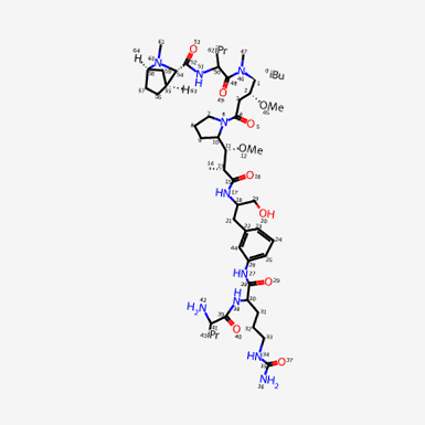 CC[C@H](C)[C@@H]([C@@H](CC(=O)N1CCCC1[C@H](OC)[C@@H](C)C(=O)NC(CO)Cc1cccc(NC(=O)C(CCCNC(N)=O)NC(=O)C(N)C(C)C)c1)OC)N(C)C(=O)C(NC(=O)[C@@H]1[C@H]2CC[C@H](C2)N1C)C(C)C